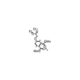 C=C(OC)c1ccc(OCC(OCC)OCC)cc1C(=O)OC